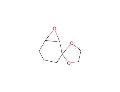 C1CC2OC2C2(C1)OCCO2